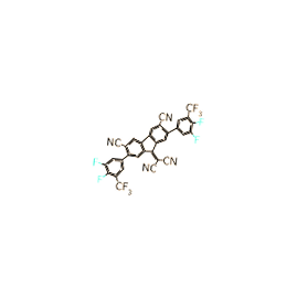 N#CC(C#N)=C1c2cc(-c3cc(F)c(F)c(C(F)(F)F)c3)c(C#N)cc2-c2cc(C#N)c(-c3cc(F)c(F)c(C(F)(F)F)c3)cc21